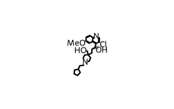 COc1ccc2ncc(Cl)c([C@@H](O)CCC3(CO)CCN(CCC4CCCC4)CC3)c2c1